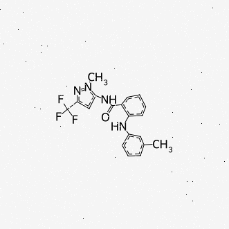 Cc1cccc(Nc2ccccc2C(=O)Nc2cc(C(F)(F)F)nn2C)c1